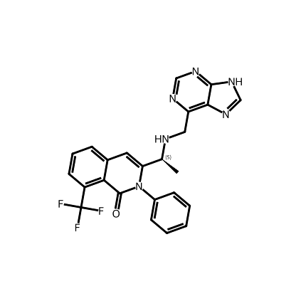 C[C@H](NCc1ncnc2[nH]cnc12)c1cc2cccc(C(F)(F)F)c2c(=O)n1-c1ccccc1